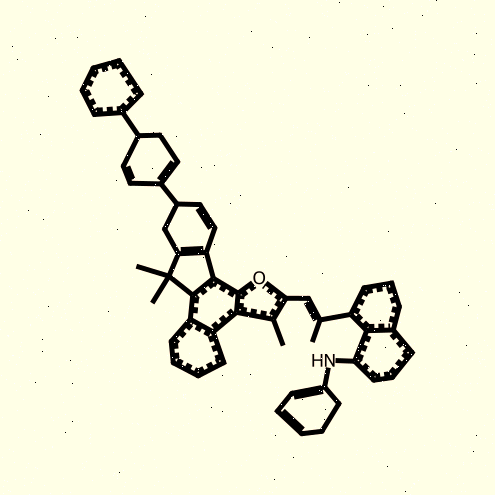 C/C(=C\c1oc2c3c(c4ccccc4c2c1C)C(C)(C)C1=C3C=CC(C2=CCC(c3ccccc3)C=C2)C1)c1cccc2cccc(NC3=CC=CCC3)c12